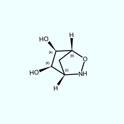 O[C@@H]1[C@H](O)[C@@H]2C[C@H]1ON2